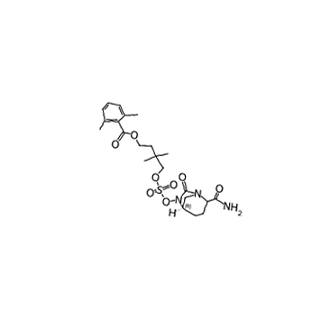 Cc1cccc(C)c1C(=O)OCCC(C)(C)COS(=O)(=O)ON1C(=O)N2C[C@H]1CCC2C(N)=O